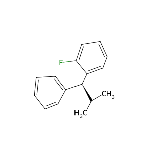 CC(C)[C@@H](c1ccccc1)c1ccccc1F